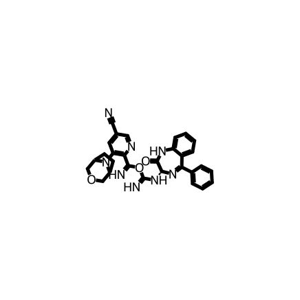 N#Cc1cnc(C(=N)OC(=N)N[C@H]2N=C(c3ccccc3)c3ccccc3NC2=O)c(N2C3CCC2COC3)c1